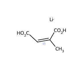 C/C(=C/C(=O)O)C(=O)O.[Li]